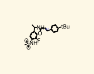 CC(NC(=O)/C=C/c1ccc(C(C)(C)C)cc1)c1ccc(NS(C)(=O)=O)c(F)c1